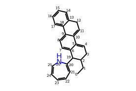 CCC1CC=c2c(ccc3c2=CCc2ccccc2-3)C1C1=CC=CC=CN1